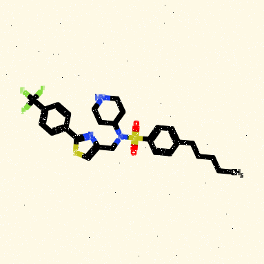 CCCCCc1ccc(S(=O)(=O)N(Cc2csc(-c3ccc(C(F)(F)F)cc3)n2)C2CCNCC2)cc1